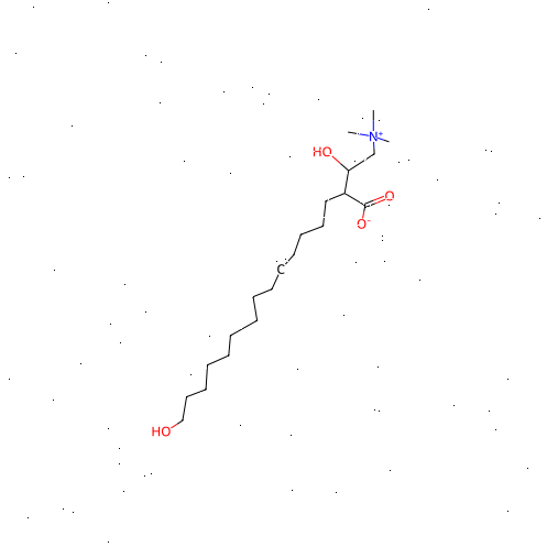 C[N+](C)(C)CC(O)C(CCCCCCCCCCCCCCO)C(=O)[O-]